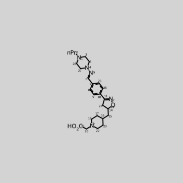 CCCN1CCN(N=Cc2ccc(C3=NOC(CC4CCN(CC(=O)O)CC4)C3)cc2)CC1